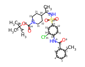 Cc1ccccc1C(=O)Nc1ccc(S(=O)(=O)NC(C)C2CCN(C(=O)OC(C)(C)C)CC2)cc1Cl